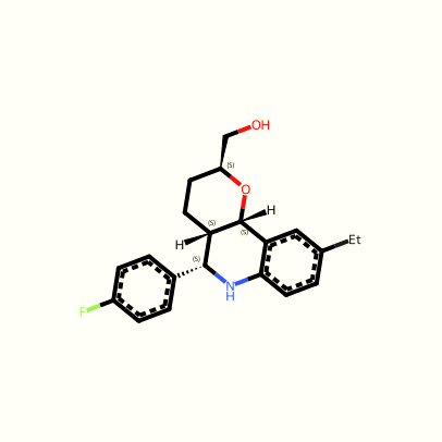 CCc1ccc2c(c1)[C@H]1O[C@H](CO)CC[C@H]1[C@@H](c1ccc(F)cc1)N2